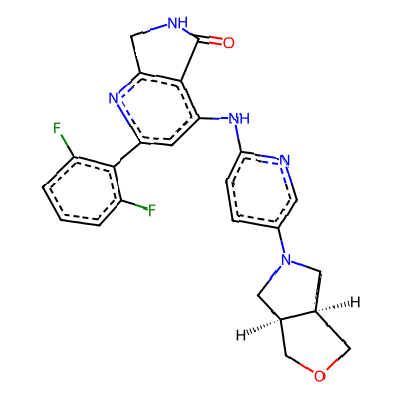 O=C1NCc2nc(-c3c(F)cccc3F)cc(Nc3ccc(N4C[C@H]5COC[C@H]5C4)cn3)c21